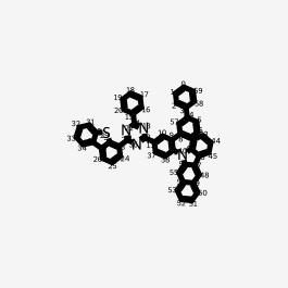 c1ccc(-c2cccc(-c3cc(-c4nc(-c5ccccc5)nc(-c5cccc6c5sc5ccccc56)n4)ccc3-n3c4ccccc4c4cc5ccccc5cc43)c2)cc1